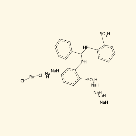 O=S(=O)(O)c1ccccc1PC(Pc1ccccc1S(=O)(=O)O)c1ccccc1.[Cl][Ru][Cl].[NaH].[NaH].[NaH].[NaH].[NaH].[NaH]